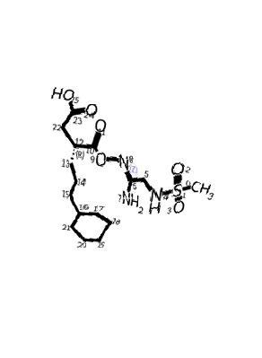 CS(=O)(=O)NC/C(N)=N/OC(=O)[C@H](CCCC1CCCCC1)CC(=O)O